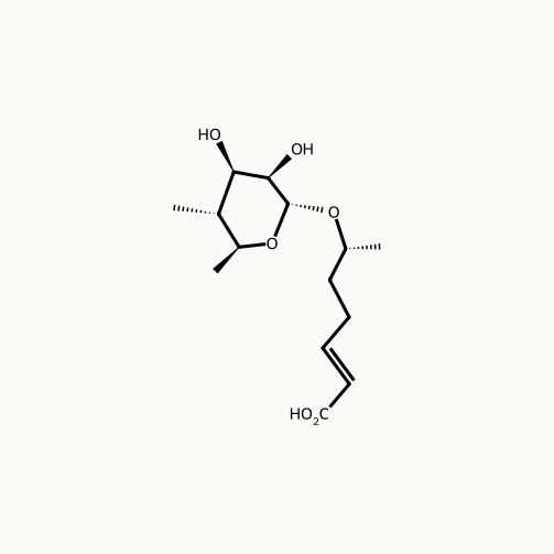 C[C@@H]1[C@@H](O)[C@@H](O)[C@H](O[C@H](C)CC/C=C/C(=O)O)O[C@H]1C